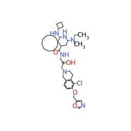 CCN(C)C1CC(C(=O)NC[C@H](O)CN2CCc3c(ccc(OCc4cnco4)c3Cl)C2)C2(CCCCCCCCC2)C(NC2CCC2)N1